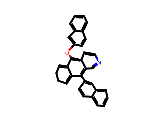 C1=c2c(Oc3ccc4ccccc4c3)c3ccncc3c(-c3ccc4ccccc4c3)c2=CCC1